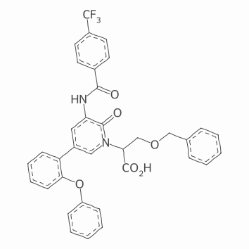 O=C(Nc1cc(-c2ccccc2Oc2ccccc2)cn(C(COCc2ccccc2)C(=O)O)c1=O)c1ccc(C(F)(F)F)cc1